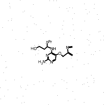 C=NC(=C)COc1cnc(N)nc1NC(CCC)CCO